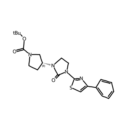 CC(C)(C)OC(=O)N1CC[C@@H](N2CCN(c3nc(-c4ccccc4)cs3)C2=O)C1